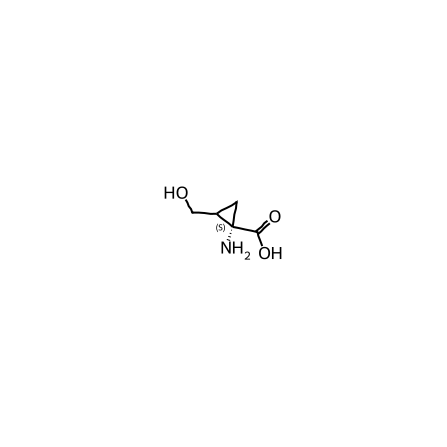 N[C@@]1(C(=O)O)CC1CO